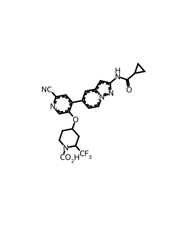 N#Cc1cc(-c2ccn3nc(NC(=O)C4CC4)cc3c2)c(OC2CCN(C(=O)O)C(C(F)(F)F)C2)cn1